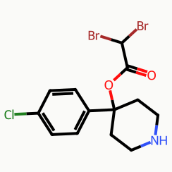 O=C(OC1(c2ccc(Cl)cc2)CCNCC1)C(Br)Br